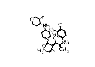 C=C(Nc1ccc(Cl)c(Cl)c1)/C(C)=C(\N=C/N)C(=O)N1CCC(N[C@@H]2CCOC[C@@H]2F)CC1